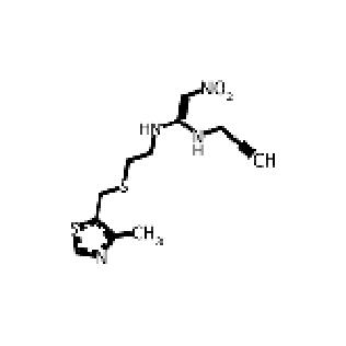 C#CCNC(=C[N+](=O)[O-])NCCSCc1scnc1C